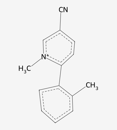 Cc1ccccc1-c1ccc(C#N)c[n+]1C